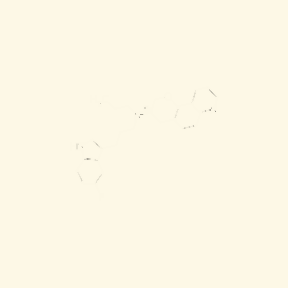 CCCN(CCCc1c[nH]c2ccc(F)cc12)[C@H]1COc2c(ccc3ncccc23)C1